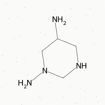 NC1CNCN(N)C1